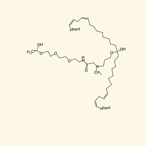 CCCCC/C=C\C/C=C\CCCCCCCCC(O)(CCCCCCCC/C=C\C/C=C\CCCCC)OCCCN(C)CC(=O)NCCOCCOCCO[C@@H](C)O